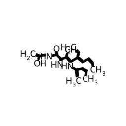 C=CC(=C\C=C/C)/C(NC(/C=C\C)=C/C)=C(\C)C(=N)C(=O)NCC(=C)O